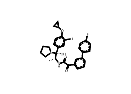 C[C@@H](NC(=O)C(=O)c1cccc(-c2ccc(F)cc2)c1)[C@](O)(c1ccc(OC2CC2)c(Cl)c1)N1CCCC1